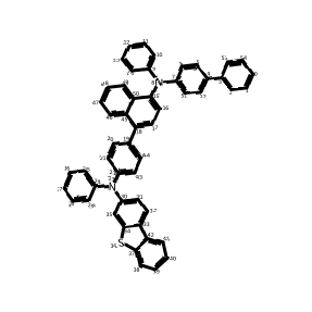 c1ccc(-c2ccc(N(c3ccccc3)c3ccc(-c4ccc(N(c5ccccc5)c5ccc6c(c5)sc5ccccc56)cc4)c4ccccc34)cc2)cc1